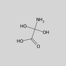 NC(O)(O)C(=O)O